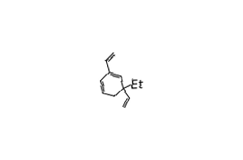 C=CC1=CC(C=C)(CC)CC=C1